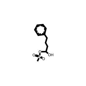 CS(=O)(=O)OC(O)CCCc1ccccc1